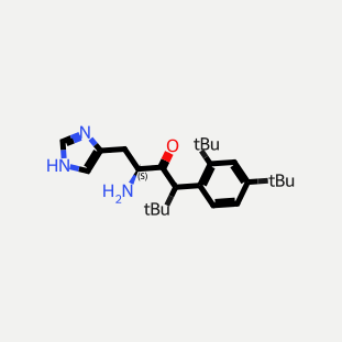 [CH2]C([CH2])([CH2])[C](C(=O)[C@@H](N)Cc1c[nH]cn1)c1ccc(C(C)(C)C)cc1C(C)(C)C